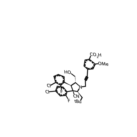 COc1cc(C#CCN2[C@@H](CC(C)(C)C)[C@](C#N)(c3ccc(Cl)cc3F)[C@@H](c3cccc(Cl)c3F)[C@@H]2CO)ccc1C(=O)O